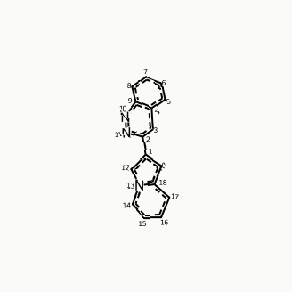 [c]1c(-c2cc3ccccc3nn2)cn2ccccc12